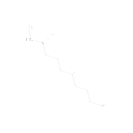 CC(C)CCCCCCCC(=O)NC(C)C